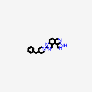 c1ccc(CC2CCN(c3ncc4c(n3)CCc3cnc5[nH]ncc5c3-4)CC2)cc1